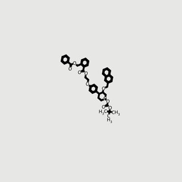 CC(C)(C)OC(=O)ON1CCC(c2ccc(OCCOC(=O)c3ccccc3COC(=O)c3ccccc3)cc2)C(OCc2ccc3ccccc3c2)C1